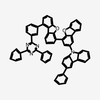 c1ccc(-c2ccc3c(c2)c2ccccc2n3-c2cc(-c3cccc4c3oc3cccc(-c5cccc(-c6nc(-c7ccccc7)nc(-c7ccccc7)n6)c5)c34)c3oc4ccccc4c3c2)cc1